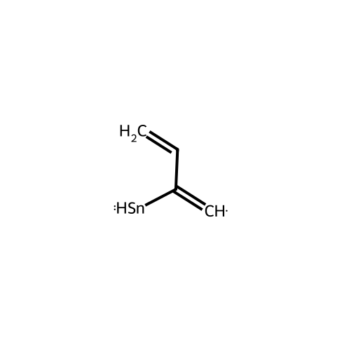 [CH]=[C]([SnH])C=C